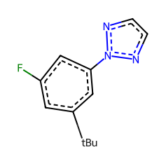 CC(C)(C)c1cc(F)cc(-n2nccn2)c1